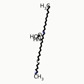 C/C=C/CCCCCCCCCCCCCCC(CC/C=C/CCCCCCCCCCCC)NC(=O)O